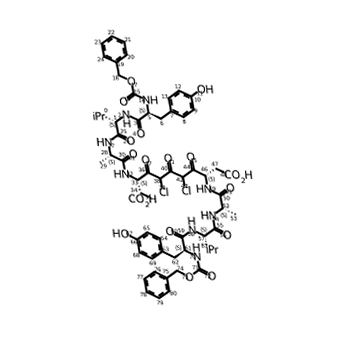 CC(C)[C@H](NC(=O)[C@H](Cc1ccc(O)cc1)NC(=O)OCc1ccccc1)C(=O)N[C@@H](C)C(=O)N[C@@H](CC(=O)O)C(=O)C(Cl)C(=O)C(Cl)C(=O)[C@H](CC(=O)O)NC(=O)[C@H](C)NC(=O)[C@@H](NC(=O)[C@H](Cc1ccc(O)cc1)NC(=O)OCc1ccccc1)C(C)C